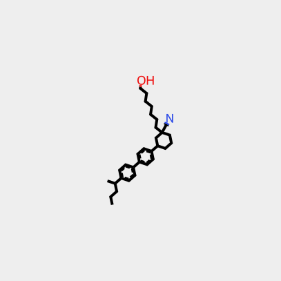 CCCC(C)c1ccc(-c2ccc(C3CCCC(C#N)(CCCCCCCO)C3)cc2)cc1